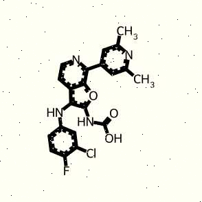 Cc1cc(-c2nccc3c(Nc4ccc(F)c(Cl)c4)c(NC(=O)O)oc23)cc(C)n1